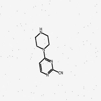 N#Cc1nccc(N2CCNCC2)n1